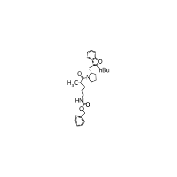 CCCCc1oc2ccccc2c1C[C@@H]1CCCN1C(=O)[C@@H](C)CCCNC(=O)OCc1ccccc1